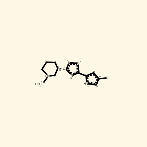 O=C(O)N1CCC[C@H](c2noc(-c3cc(Cl)c[nH]3)n2)C1